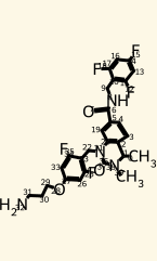 CC1c2ccc(C(=O)NCc3c(F)cc(F)cc3F)cc2N(Cc2c(F)cc(OCCCN)cc2F)C(=O)N1C